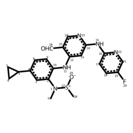 CN(c1cc(C2CC2)ccc1Nc1cc(Nc2ccc(F)cn2)ncc1C=O)[S+](C)[O-]